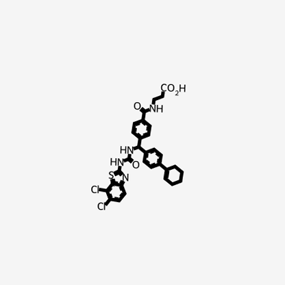 O=C(O)CCNC(=O)c1ccc(C(NC(=O)Nc2nc3ccc(Cl)c(Cl)c3s2)c2ccc(C3=CCCCC3)cc2)cc1